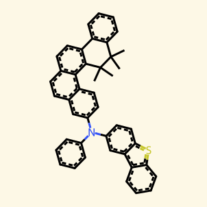 CC1(C)c2ccccc2-c2ccc3ccc4cc(N(c5ccccc5)c5ccc6sc7ccccc7c6c5)ccc4c3c2C1(C)C